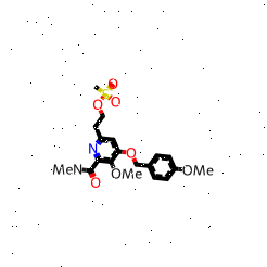 CNC(=O)c1nc(CCOS(C)(=O)=O)cc(OCc2ccc(OC)cc2)c1OC